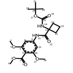 COC(=O)c1c(OC)cc(NC(=O)C2(NC(=O)OC(C)(C)C)CCC2)cc1OC